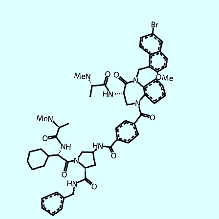 CN[C@@H](C)C(=O)N[C@H]1CN(C(=O)c2ccc(C(=O)N[C@H]3C[C@@H](C(=O)NCc4ccccc4)N(C(=O)[C@@H](NC(=O)[C@H](C)NC)C4CCCCC4)C3)cc2)c2ccccc2N(Cc2c(OC)ccc3cc(Br)ccc23)C1=O